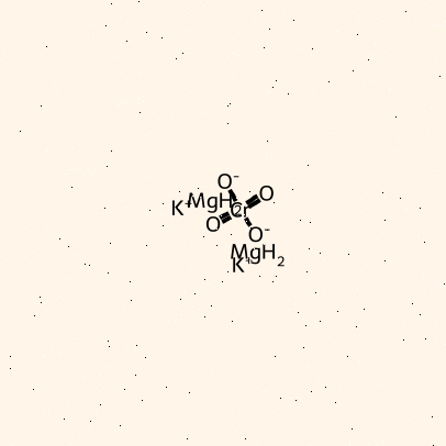 [K+].[K+].[MgH2].[MgH2].[O]=[Cr](=[O])([O-])[O-]